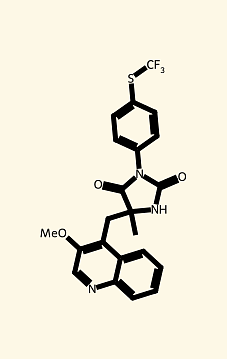 COc1cnc2ccccc2c1CC1(C)NC(=O)N(c2ccc(SC(F)(F)F)cc2)C1=O